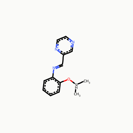 C[SiH](C)Oc1ccccc1N=Cc1cnccn1